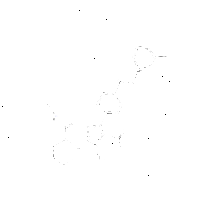 CC/C=C/C(=O)N1CCCC[C@H]1c1nc(-c2ccc(C(=O)Nc3cc(CC)ccn3)cc2)c(C(N)=O)n1N